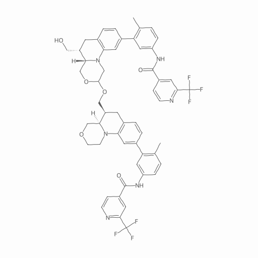 Cc1ccc(NC(=O)c2ccnc(C(F)(F)F)c2)cc1-c1ccc2c(c1)N1CC(OC[C@H]3Cc4ccc(-c5cc(NC(=O)c6ccnc(C(F)(F)F)c6)ccc5C)cc4N4CCOC[C@@H]34)OC[C@@H]1[C@H](CO)C2